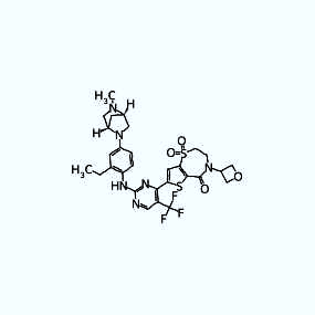 CCc1cc(N2C[C@@H]3C[C@H]2CN3C)ccc1Nc1ncc(C(F)(F)F)c(-c2cc3c(s2)C(=O)N(C2COC2)CCS3(=O)=O)n1